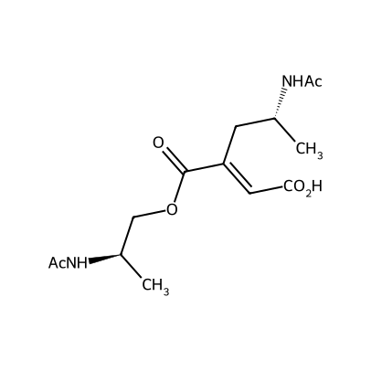 CC(=O)N[C@H](C)COC(=O)C(=CC(=O)O)C[C@@H](C)NC(C)=O